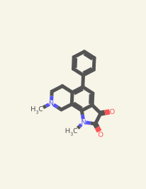 CN1CCc2c(-c3ccccc3)cc3c(c2C1)N(C)C(=O)C3=O